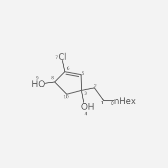 CCCCCCCCC1(O)C=C(Cl)C(O)C1